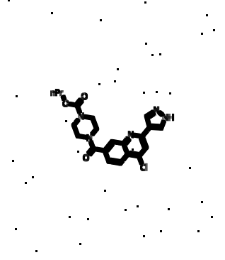 CCCOC(=O)N1CCN(C(=O)c2ccc3c(Cl)cc(-c4cn[nH]c4)nc3c2)CC1